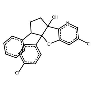 OC12CCC(c3ccccc3)C1(c1ccc(Cl)cc1)Oc1cc(Cl)cnc12